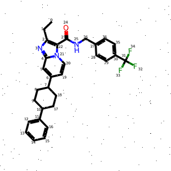 CCc1nc2cc(C3CCC(c4ccccc4)CC3)ccn2c1C(=O)NCc1ccc(C(F)(F)F)cc1